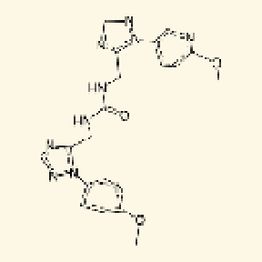 COc1ccc(-n2ncnc2CNC(=O)NCc2ncnn2-c2ccc(OC)nc2)cn1